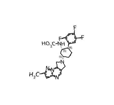 Cc1cc2ncc3c(n2n1)CN([C@H]1CC[C@H](c2cc(F)c(F)cc2F)[C@@H](NC(=O)O)C1)C3